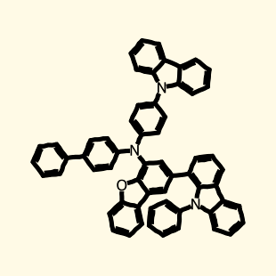 c1ccc(-c2ccc(N(c3ccc(-n4c5ccccc5c5ccccc54)cc3)c3cc(-c4cccc5c6ccccc6n(-c6ccccc6)c45)cc4c3oc3ccccc34)cc2)cc1